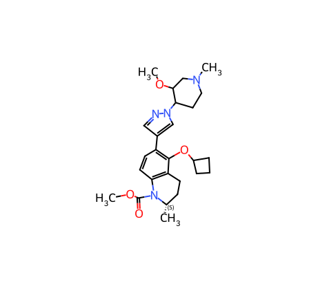 COC(=O)N1c2ccc(-c3cnn(C4CCN(C)CC4OC)c3)c(OC3CCC3)c2CC[C@@H]1C